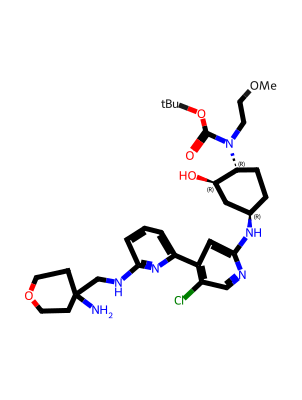 COCCN(C(=O)OC(C)(C)C)[C@@H]1CC[C@@H](Nc2cc(-c3cccc(NCC4(N)CCOCC4)n3)c(Cl)cn2)C[C@H]1O